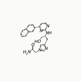 NC(=O)Cn1cnc(C[C@@H](CO)Nc2nccc(-c3ccc4ccccc4c3)n2)c1